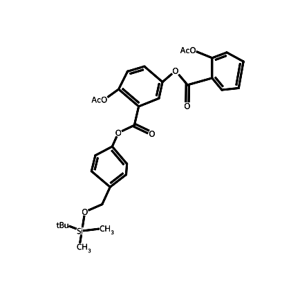 CC(=O)Oc1ccccc1C(=O)Oc1ccc(OC(C)=O)c(C(=O)Oc2ccc(CO[Si](C)(C)C(C)(C)C)cc2)c1